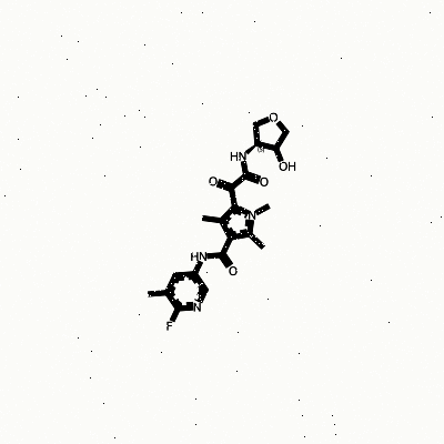 Cc1cc(NC(=O)c2c(C)c(C(=O)C(=O)N[C@H]3COCC3O)n(C)c2C)cnc1F